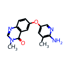 Cc1cc(Oc2ccc3ncn(C)c(=O)c3c2)cnc1N